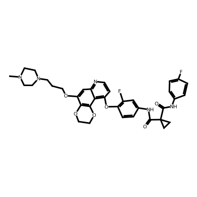 CN1CCN(CCCOc2cc3nccc(Oc4ccc(NC(=O)C5(C(=O)Nc6ccc(F)cc6)CC5)cc4F)c3c3c2OCCO3)CC1